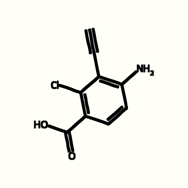 C#Cc1c(N)ccc(C(=O)O)c1Cl